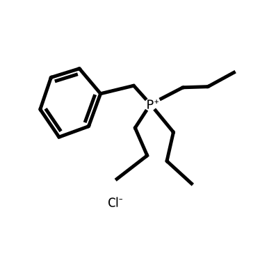 CCC[P+](CCC)(CCC)Cc1ccccc1.[Cl-]